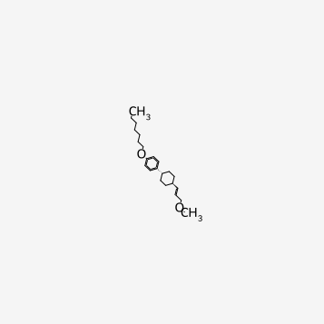 CCCCCCCOc1ccc([C@H]2CC[C@H](C=CCOC)CC2)cc1